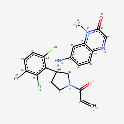 C=CC(=O)N1CC[C@@](Nc2ccc3ncc(=O)n(C)c3c2)(c2c(F)ccc(Cl)c2Cl)C1